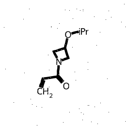 C=CC(=O)N1CC(OC(C)C)C1